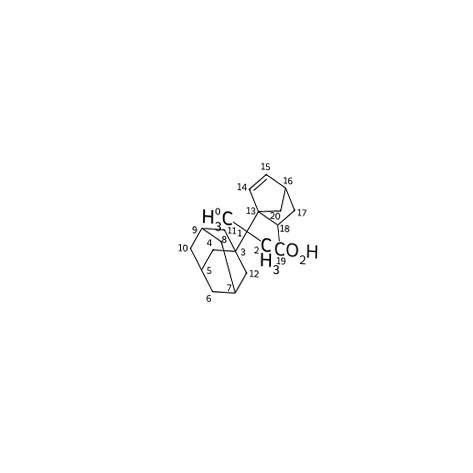 CC(C)(C12CC3CC(CC(C3)C1)C2)C12C=CC(CC1C(=O)O)C2